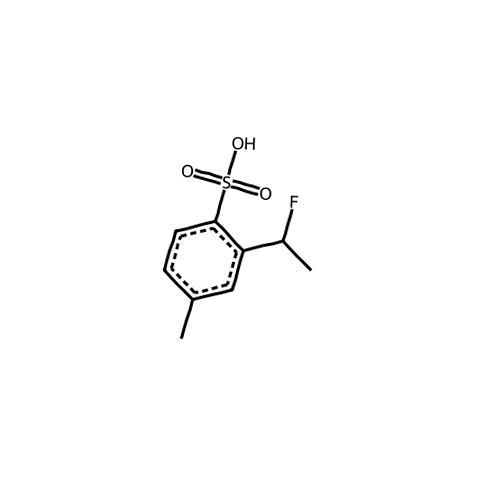 Cc1ccc(S(=O)(=O)O)c(C(C)F)c1